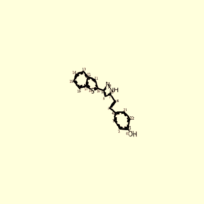 Oc1ccc(C=Cc2cc(-c3cc4ccccc4s3)n[nH]2)cc1